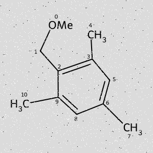 COCc1c(C)cc(C)cc1C